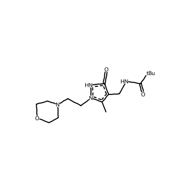 Cc1c(CNC(=O)C(C)(C)C)c(=O)[nH]n1CCN1CCOCC1